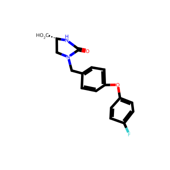 O=C(O)[C@H]1CN(Cc2ccc(Oc3ccc(F)cc3)cc2)C(=O)N1